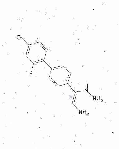 N/C=C(\NN)c1ccc(-c2ccc(Cl)cc2F)cc1